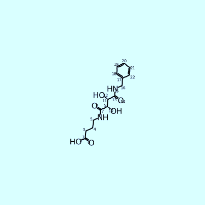 O=C(O)CCCNC(=O)[C@H](O)[C@@H](O)C(=O)NCc1ccccc1